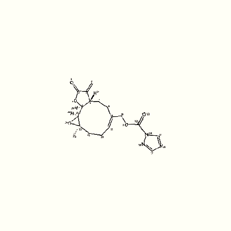 C=C1C(=O)O[C@H]2[C@H]1CC/C(COC(=O)n1cncn1)=C\CC[C@@]1(C)O[C@@H]21